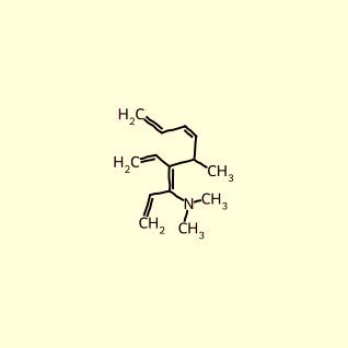 C=C/C=C\C(C)/C(C=C)=C(/C=C)N(C)C